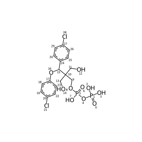 O=P(O)(O)OP(=O)(O)OCC(CO)(CO)C(Oc1ccc(Cl)cc1)c1ccc(Cl)cc1